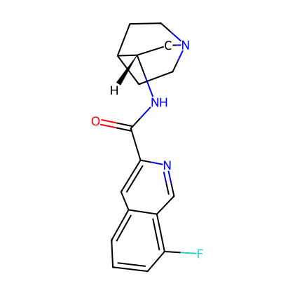 O=C(N[C@H]1CN2CCC1CC2)c1cc2cccc(F)c2cn1